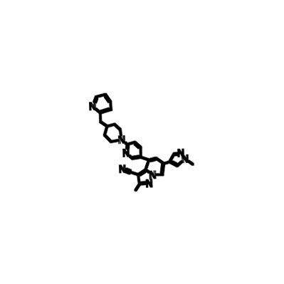 Cc1nn2cc(-c3cnn(C)c3)cc(-c3ccc(N4CCC(Cc5ccccn5)CC4)nc3)c2c1C#N